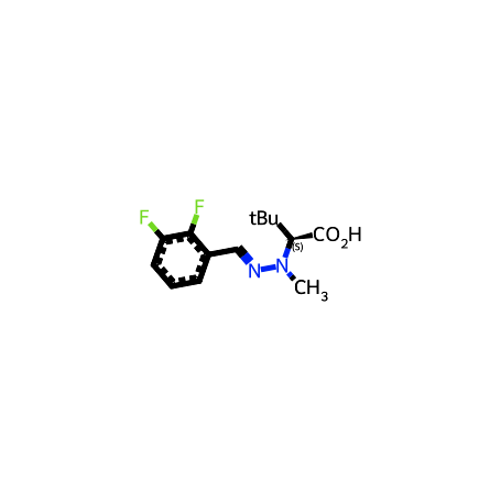 CN(N=Cc1cccc(F)c1F)[C@H](C(=O)O)C(C)(C)C